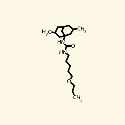 CCCOCCCCCNC(=O)NC12CC(C)CC(CC(C)C1)C2